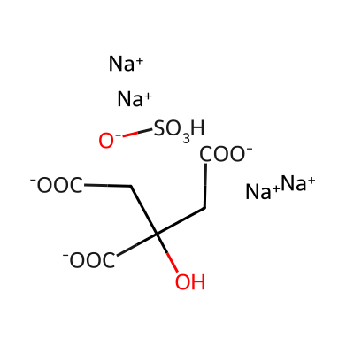 O=C([O-])CC(O)(CC(=O)[O-])C(=O)[O-].O=S(=O)([O-])O.[Na+].[Na+].[Na+].[Na+]